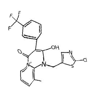 Cc1ccc[n+]2c(=O)c(-c3cccc(C(F)(F)F)c3)c(O)n(Cc3cnc(Cl)s3)c12